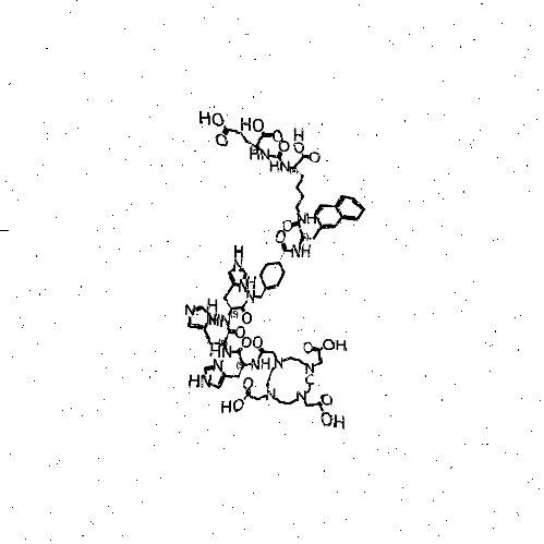 O=C(O)CC[C@H](NC(=O)N[C@@H](CCCCNC(=O)[C@H](Cc1ccc2ccccc2c1)NC(=O)[C@H]1CC[C@H](CNC(=O)[C@H](Cc2c[nH]cn2)NC(=O)[C@H](Cc2cnc[nH]2)NC(=O)[C@H](Cc2c[nH]cn2)NC(=O)CN2CCN(CC(=O)O)CCN(CC(=O)O)CCN(CC(=O)O)CC2)CC1)C(=O)O)C(=O)O